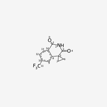 O=C1NC(=O)C2(CC2)c2cc(C(F)(F)F)ccc21